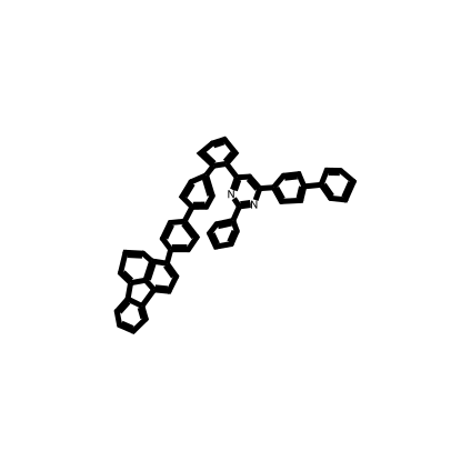 c1ccc(-c2ccc(-c3cc(-c4ccccc4-c4ccc(-c5ccc(-c6ccc7c8c(cccc68)-c6ccccc6-7)cc5)cc4)nc(-c4ccccc4)n3)cc2)cc1